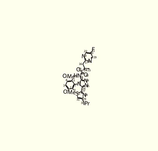 COc1cccc(OC)c1-n1c(NS(=O)(=O)[C@H](C)Cc2ncc(F)cn2)nnc1-c1nc(C(C)C)cs1